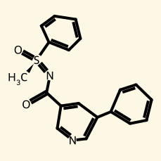 C[S@](=O)(=NC(=O)c1cncc(-c2ccccc2)c1)c1ccccc1